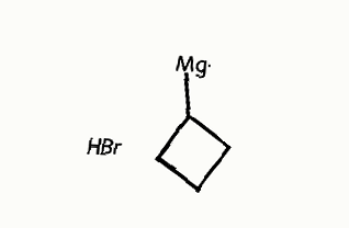 Br.[Mg][CH]1CCC1